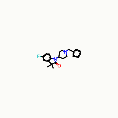 CC1(C)C(=O)N(C2CCN(Cc3ccccc3)CC2)c2ccc(F)cc21